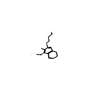 CCCCCc1cc2c(c(CN)c1O)CCCC2